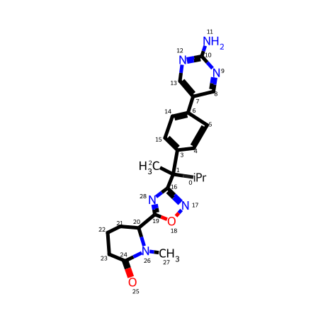 CC(C)C(C)(c1ccc(-c2cnc(N)nc2)cc1)c1noc(C2CCCC(=O)N2C)n1